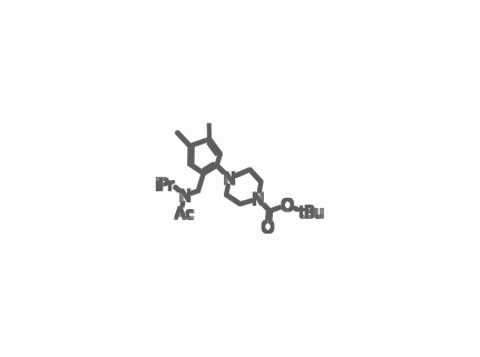 CC(=O)N(Cc1cc(C)c(C)cc1N1CCN(C(=O)OC(C)(C)C)CC1)C(C)C